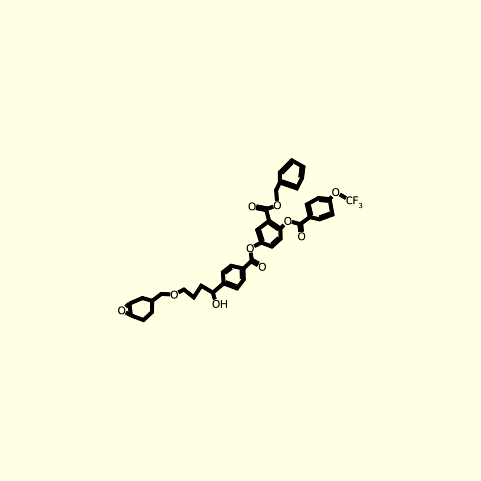 O=C(Oc1ccc(OC(=O)c2ccc(OC(F)(F)F)cc2)c(C(=O)OCc2ccccc2)c1)c1ccc(C(O)CCCOCC2CCC3OC3C2)cc1